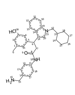 Cc1cccc(C(CC(=O)Nc2ccc(CN)cc2)c2cn(CC3CCCCC3)c3ccccc23)c1.Cl